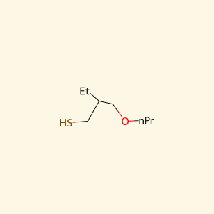 CCCOCC(CC)CS